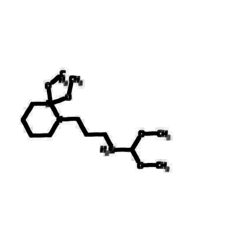 COC(OC)[SiH2]CCCN1CCCC[Si]1(OC)OC